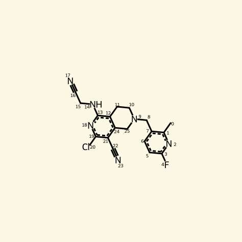 Cc1nc(F)ccc1CN1CCc2c(NCC#N)nc(Cl)c(C#N)c2C1